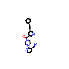 N#Cc1cccnc1N1CCN(C(=O)c2cncc(C#Cc3ccccc3)c2)CC1